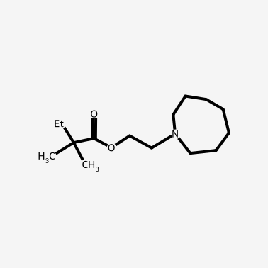 CCC(C)(C)C(=O)OCCN1CCCCCCC1